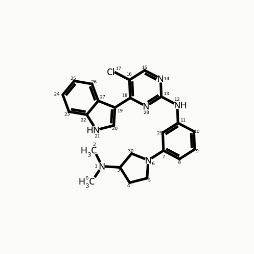 CN(C)C1CCN(c2cccc(Nc3ncc(Cl)c(-c4c[nH]c5ccccc45)n3)c2)C1